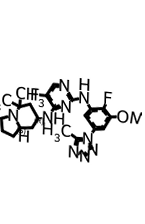 COc1cc(-n2nnnc2C)cc(Nc2ncc(F)c(N[C@@H]3C[C@@H]4CCCN4C(C)(C)C3)n2)c1F